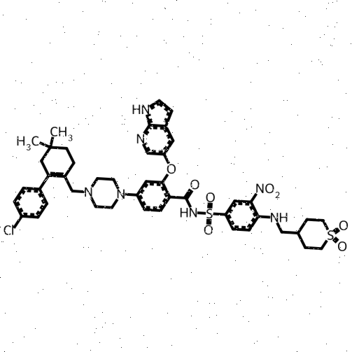 CC1(C)CCC(CN2CCN(c3ccc(C(=O)NS(=O)(=O)c4ccc(NCC5CCS(=O)(=O)CC5)c([N+](=O)[O-])c4)c(Oc4cnc5[nH]ccc5c4)c3)CC2)=C(c2ccc(Cl)cc2)C1